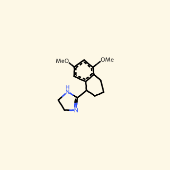 COc1cc(OC)c2c(c1)C(C1=NCCN1)CCC2